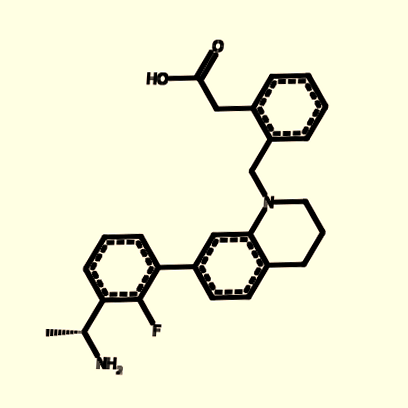 C[C@@H](N)c1cccc(-c2ccc3c(c2)N(Cc2ccccc2CC(=O)O)CCC3)c1F